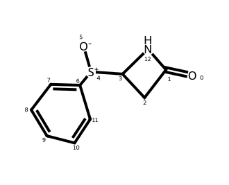 O=C1CC([S+]([O-])c2ccccc2)N1